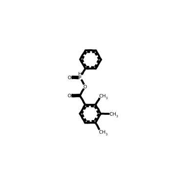 Cc1ccc(C(=O)O[PH](=O)c2ccccc2)c(C)c1C